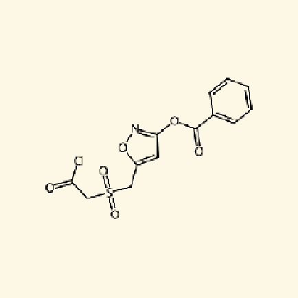 O=C(Cl)CS(=O)(=O)Cc1cc(OC(=O)c2ccccc2)no1